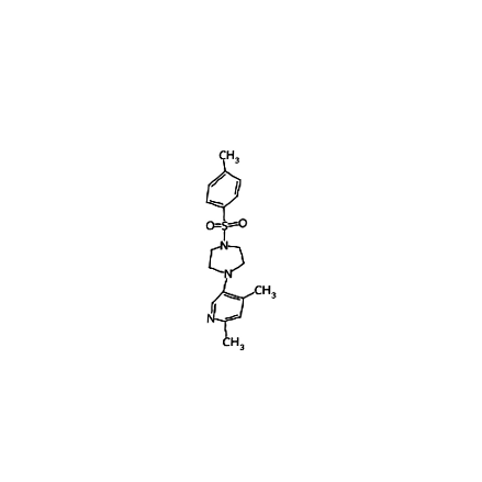 Cc1ccc(S(=O)(=O)N2CCN(c3cnc(C)cc3C)CC2)cc1